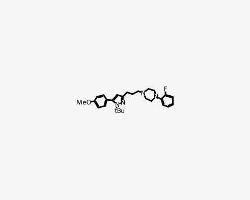 COc1ccc(-c2cc(CCCN3CCN(c4ccccc4F)CC3)nn2C(C)(C)C)cc1